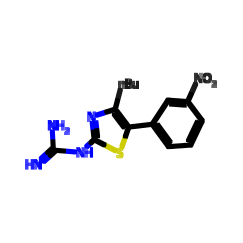 CCCCc1nc(NC(=N)N)sc1-c1cccc([N+](=O)[O-])c1